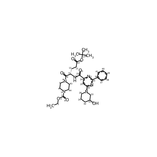 CCOC(=O)N1CCN(C(=O)[C@H](CCC(=O)OC(C)(C)C)NC(=O)c2cc(N3CCCC(O)C3)nc(-c3ccccc3)n2)CC1